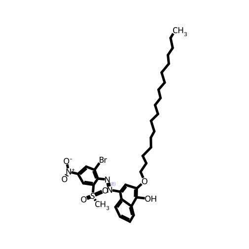 CCCCCCCCCCCCCCCCCCOc1cc(/N=N/c2c(Br)cc([N+](=O)[O-])cc2S(C)(=O)=O)c2ccccc2c1O